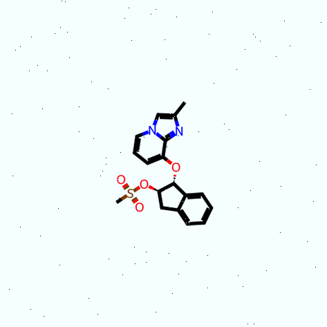 Cc1cn2cccc(O[C@@H]3c4ccccc4C[C@H]3OS(C)(=O)=O)c2n1